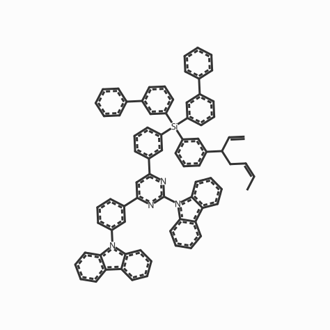 C=CC(C/C=C\C)c1cccc([Si](c2cccc(-c3ccccc3)c2)(c2cccc(-c3ccccc3)c2)c2cccc(-c3cc(-c4cccc(-n5c6ccccc6c6ccccc65)c4)nc(-n4c5ccccc5c5ccccc54)n3)c2)c1